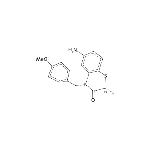 COc1ccc(CN2C(=O)[C@@H](C)Sc3ccc(N)cc32)cc1